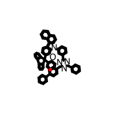 c1ccc(-c2ccc(-c3nc(-c4ccccc4)nc(-c4cccc(-n5c6ccc7ccccc7c6c6ccc7c(c65)Oc5ccccc5C75c6ccccc6-c6ccccc65)c4)n3)cc2)cc1